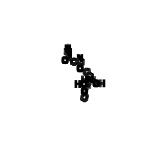 CN1CCN(C(=O)c2ccc3c(Oc4ccc(C[C@@H](CO)NC[C@H](O)COc5ccccc5)cc4)ccnc3c2)CC1